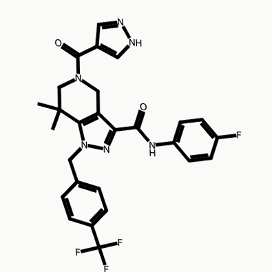 CC1(C)CN(C(=O)c2cn[nH]c2)Cc2c(C(=O)Nc3ccc(F)cc3)nn(Cc3ccc(C(F)(F)F)cc3)c21